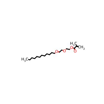 C=C(C)C(=O)OCCOCCOCCCCCCCCCCCC